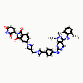 Cc1cccc(C)c1Nc1nn(C)c2nc(Nc3ccc(C4CN(CC5CN(c6ccc7c(c6)C(=O)N(C6CCC(=O)NC6=O)C7=O)C5)C4)cc3)ncc12